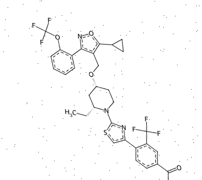 CC[C@@H]1C[C@H](OCc2c(-c3ccccc3OC(F)(F)F)noc2C2CC2)CCN1c1nc(-c2ccc(C(=O)O)cc2C(F)(F)F)cs1